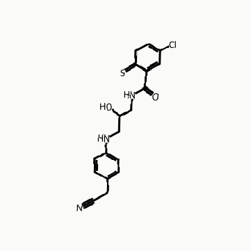 N#CCc1ccc(NCC(O)CNC(=O)C2=CC(Cl)=CCC2=S)cc1